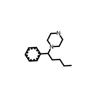 CCCCC(c1ccccc1)N1CC[N]CC1